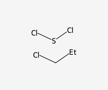 CCCCl.ClSCl